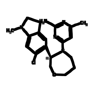 Cc1cc(N2CCCOC[C@H]2c2cc3c(cc2Cl)N(C)CC3)nc(N)n1